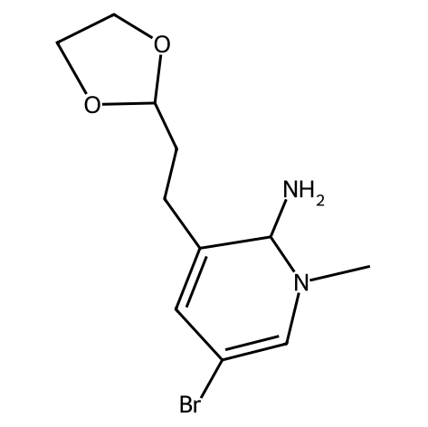 CN1C=C(Br)C=C(CCC2OCCO2)C1N